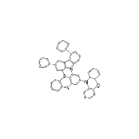 C1=CC2Oc3ccccc3N(c3cc4c5c(c3)-n3c6cccc(-c7ccccc7)c6c6cc(-c7ccccc7)cc(c63)B5c3ccccc3S4)C2C=C1